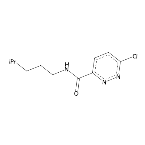 CC(C)CCCNC(=O)c1ccc(Cl)nn1